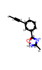 CC#Cc1cccc(-c2nc(C)no2)c1